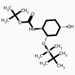 CC(C)(C)OC(=O)N[C@H]1CC[C@H](O)C[C@@H]1O[Si](C)(C)C(C)(C)C